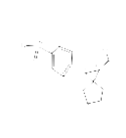 NS(=O)(=O)c1ccc([C@@H]2[C@@H](CO)C23CCCC3)cc1